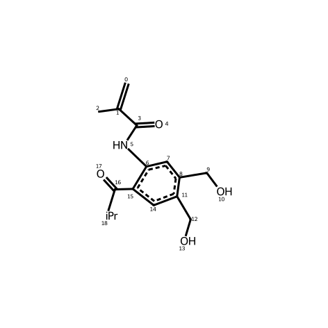 C=C(C)C(=O)Nc1cc(CO)c(CO)cc1C(=O)C(C)C